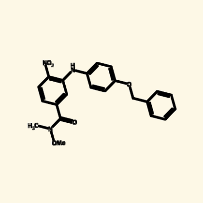 CON(C)C(=O)c1ccc([N+](=O)[O-])c(Nc2ccc(OCc3ccccc3)cc2)c1